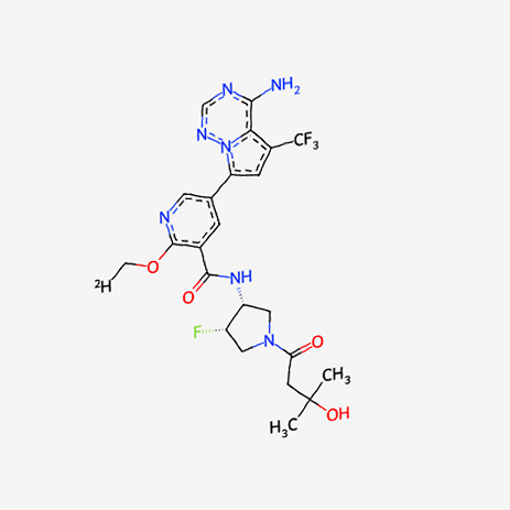 [2H]COc1ncc(-c2cc(C(F)(F)F)c3c(N)ncnn23)cc1C(=O)N[C@@H]1CN(C(=O)CC(C)(C)O)C[C@@H]1F